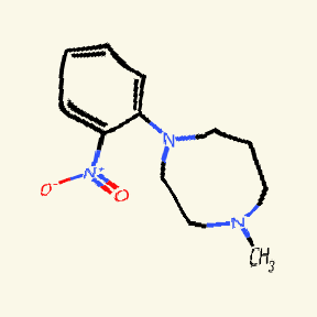 CN1CCCN(c2ccccc2[N+](=O)[O-])CC1